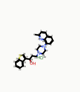 Cc1ccc2cccc(N3CCN(CCC(O)c4csc5ccccc45)CC3)c2n1.Cl